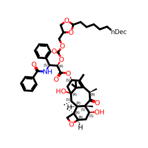 CCCCCCCCCCCCCCCC1OCC(COC(=O)O[C@@H](C(=O)O[C@H]2C[C@@]3(O)[C@@H](C)[C@@H]4[C@]5(C)CO[C@@H]5C[C@H](O)[C@@]4(C)C(=O)[C@H](C)C(=C2C)C3(C)C)[C@@H](NC(=O)c2ccccc2)c2ccccc2)O1